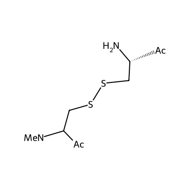 CNC(CSSC[C@H](N)C(C)=O)C(C)=O